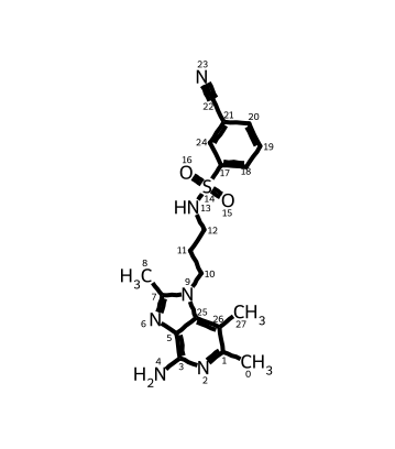 Cc1nc(N)c2nc(C)n(CCCNS(=O)(=O)c3cccc(C#N)c3)c2c1C